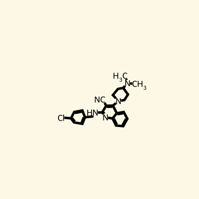 CN(C)C1CCN(c2c(C#N)c(NCc3ccc(Cl)cc3)nc3ccccc23)CC1